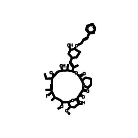 CCC1/C=C(\C)C(F)C(C)CC(OC)C2OC(O)(C(=O)C(=O)N3CCCCC3C(=O)OC(C(C)=CC3CCC(OCC=Cc4ccccc4)C(O)C3)C(C)C(O)CC1=O)C(C)CC2OC